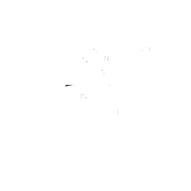 O=C(O)N[C@@H](Cc1ccc(Br)cc1)c1nnn(CCO)n1